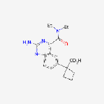 CCN(CC)C(=O)c1nc(N)nc2ccc(C3(C(=O)O)CCC3)cc12